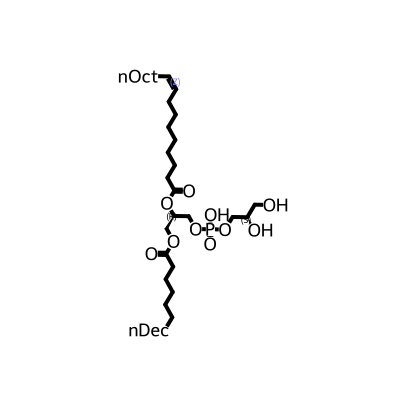 CCCCCCCC/C=C\CCCCCCCC(=O)O[C@H](COC(=O)CCCCCCCCCCCCCCC)COP(=O)(O)OC[C@@H](O)CO